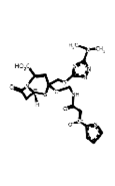 CN(C)c1nnc(SCC2(OCNC(=O)C[S+]([O-])c3cccs3)C=C(C(=O)O)N3C(=O)C[C@H]3S2)s1